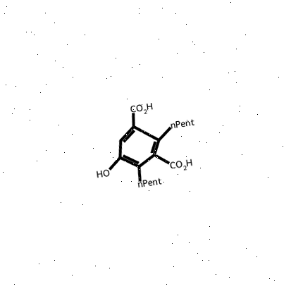 CCCCCc1c(O)cc(C(=O)O)c(CCCCC)c1C(=O)O